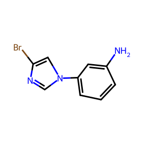 Nc1cccc(-n2cnc(Br)c2)c1